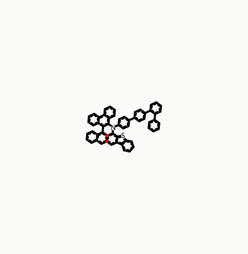 c1ccc(-c2ccccc2-c2ccc(-c3ccc(N(c4c(-c5cccc6ccccc56)c5ccccc5c5ccccc45)c4cccc5c4sc4ccccc45)cc3)cc2)cc1